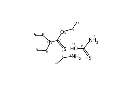 CCN.CCOC(=S)N(CC)CC.NC(O)=S